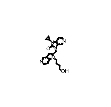 O=c1n(Cc2cc3cnccc3n2CCCCO)c2cnccc2n1C1CC1